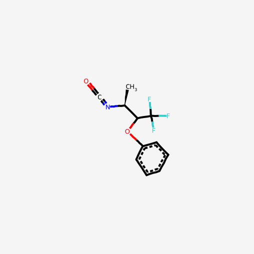 C[C@H](N=C=O)C(Oc1ccccc1)C(F)(F)F